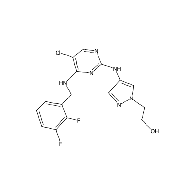 OCCn1cc(Nc2ncc(Cl)c(NCc3cccc(F)c3F)n2)cn1